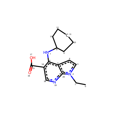 CCn1ccc2c(NC3CCCCC3)c(C(=O)O)cnc21